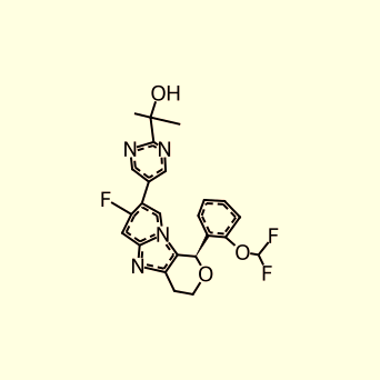 CC(C)(O)c1ncc(-c2cn3c4c(nc3cc2F)CCO[C@@H]4c2ccccc2OC(F)F)cn1